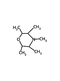 CC1OC(C)C(C)N(C)C1C